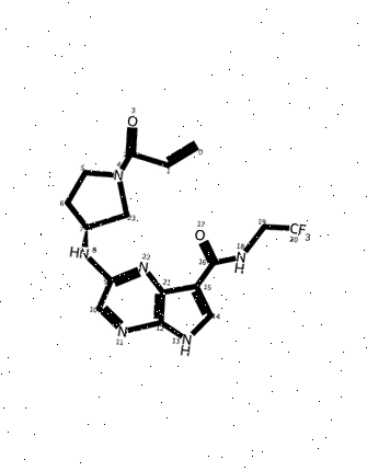 C=CC(=O)N1CC[C@H](Nc2cnc3[nH]cc(C(=O)NCC(F)(F)F)c3n2)C1